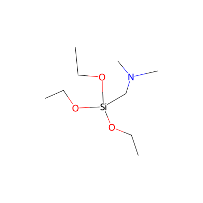 CCO[Si](CN(C)C)(OCC)OCC